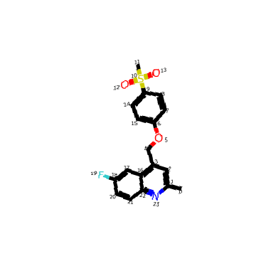 Cc1cc(COc2ccc(S(C)(=O)=O)cc2)c2cc(F)ccc2n1